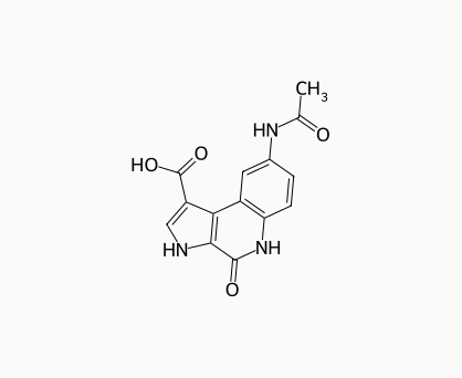 CC(=O)Nc1ccc2[nH]c(=O)c3[nH]cc(C(=O)O)c3c2c1